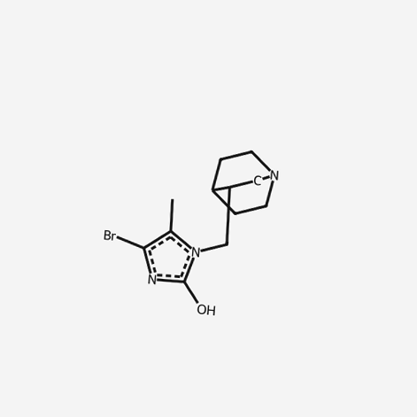 Cc1c(Br)nc(O)n1CC1CN2CCC1CC2